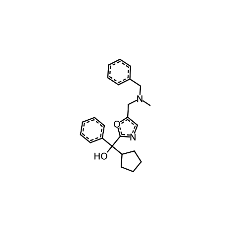 CN(Cc1ccccc1)Cc1cnc(C(O)(c2ccccc2)C2CCCC2)o1